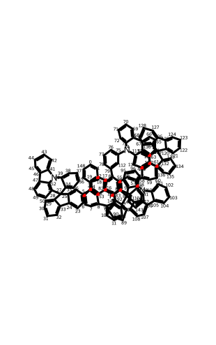 c1ccc(-c2cccc(-c3ccccc3N(c3cccc(-c4ccc5c(c4)C4(c6ccccc6-5)c5ccccc5-n5c6ccccc6c6cccc4c65)c3)c3ccc(-c4cccc(-c5cccc(-c6ccccc6N(c6cccc(-c7ccc8c(c7)C7(c9ccccc9-8)c8ccccc8-n8c9ccccc9c9cccc7c98)c6)c6ccc7c(c6)C6(c8ccccc8-c8ccccc86)c6ccccc6-7)c5)c4)c4ccccc34)c2)cc1